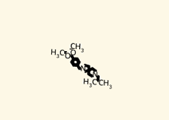 CCOC(OCC)c1ccc(CN2CCC3(CCN(CC(C)C)CC3)C2)cc1